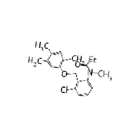 CCC(=O)N(C)c1cccc(Cl)c1COc1cc(C)c(C)cc1C